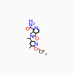 Cc1cc(C(C)N2Cc3c(ccnc3C(N)=O)C2=O)cnc1OCC(F)(F)F